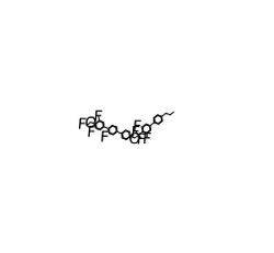 CCCc1ccc(-c2cc(F)c(C(F)(F)Oc3ccc(-c4ccc(-c5cc(F)c(OCF)c(F)c5)c(F)c4)cc3)c(F)c2)cc1